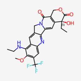 CCNc1c(OC)c(C(F)(F)F)cc2nc3c(cc12)Cn1c-3cc2c(c1=O)COC(=O)[C@]2(O)CC